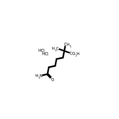 CC(C)(CCCCC(N)=O)C(=O)O.Cl.Cl